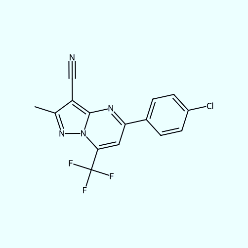 Cc1nn2c(C(F)(F)F)cc(-c3ccc(Cl)cc3)nc2c1C#N